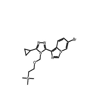 C[Si](C)(C)CCOCn1c(-c2ncn3cc(Br)ccc23)nnc1C1CC1